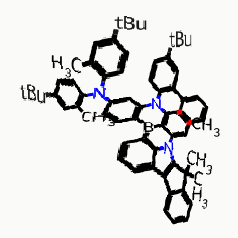 Cc1cc2c3c(c1)-n1c4c(c5cccc(c51)B3c1ccc(N(c3ccc(C(C)(C)C)cc3C)c3ccc(C(C)(C)C)cc3C)cc1N2c1ccc(C(C)(C)C)cc1-c1ccccc1)-c1ccccc1C4(C)C